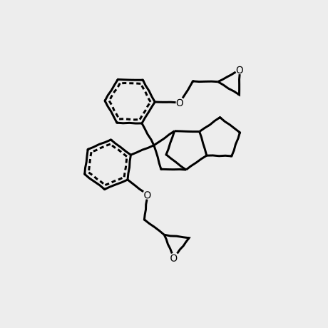 c1ccc(C2(c3ccccc3OCC3CO3)CC3CC2C2CCCC32)c(OCC2CO2)c1